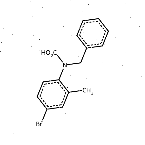 Cc1cc(Br)ccc1N(Cc1ccccc1)C(=O)O